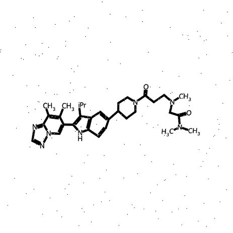 Cc1c(-c2[nH]c3ccc(C4CCN(C(=O)CCN(C)CC(=O)N(C)C)CC4)cc3c2C(C)C)cn2ncnc2c1C